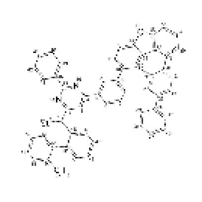 CCC(c1cc(-c2cccc(-c3ccc4oc5cccc6c7ccc(-c8ccccc8)cc7c3c4c56)c2)nc(-c2ccccc2)n1)c1ccccc1-c1ccccc1C